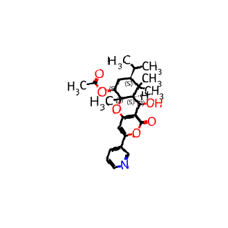 CC(=O)O[C@H]1C[C@@H](C(C)C)C(C)(C)[C@H]2[C@@H](O)c3c(cc(-c4cccnc4)oc3=O)O[C@]12C